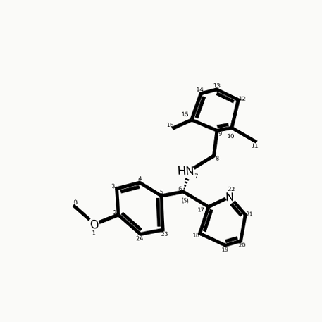 COc1ccc([C@H](NCc2c(C)cccc2C)c2ccccn2)cc1